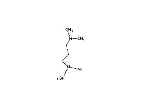 CCCCN(CCCN(C)C)C(C)=O